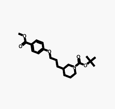 COC(=O)c1ccc(OCCCC2CCCN(C(=O)OC(C)(C)C)C2)cc1